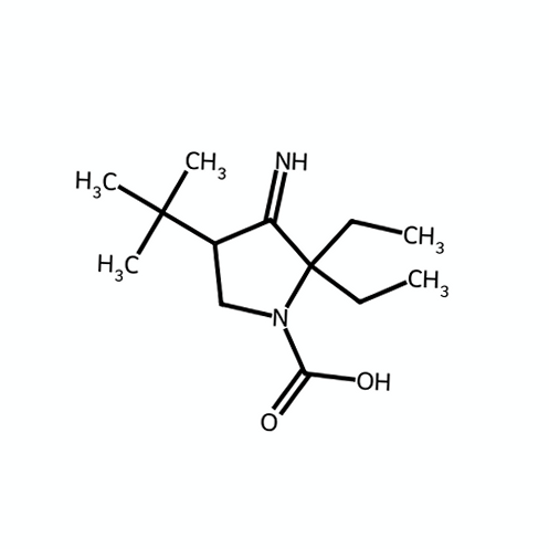 CCC1(CC)C(=N)C(C(C)(C)C)CN1C(=O)O